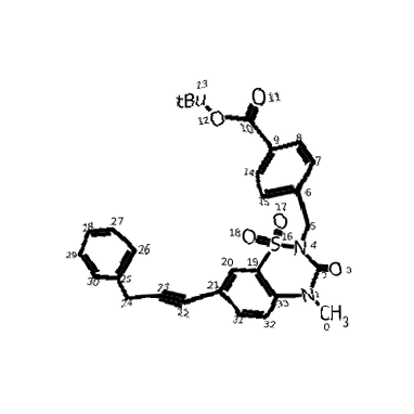 CN1C(=O)N(Cc2ccc(C(=O)OC(C)(C)C)cc2)S(=O)(=O)c2cc(C#CCc3ccccc3)ccc21